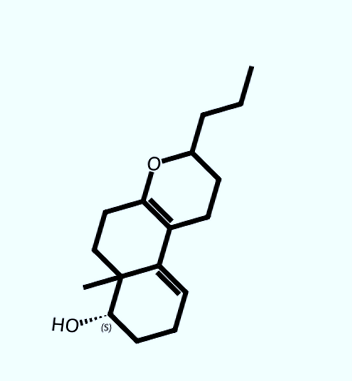 CCCC1CCC2=C(CCC3(C)C2=CCC[C@@H]3O)O1